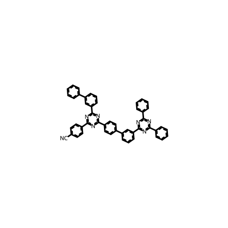 N#Cc1ccc(-c2nc(-c3ccc(-c4cccc(-c5nc(-c6ccccc6)nc(-c6ccccc6)n5)c4)cc3)nc(-c3cccc(-c4ccccc4)c3)n2)cc1